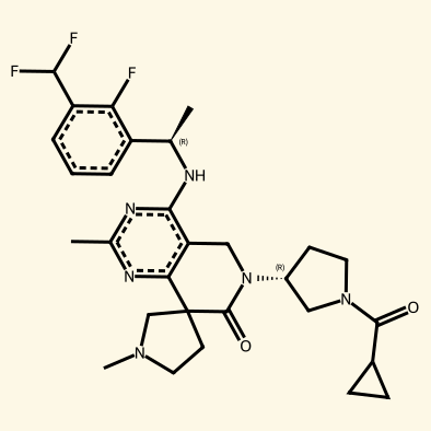 Cc1nc(N[C@H](C)c2cccc(C(F)F)c2F)c2c(n1)C1(CCN(C)C1)C(=O)N([C@@H]1CCN(C(=O)C3CC3)C1)C2